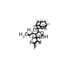 C=CCC(C(OO)C1(C)C2CC3CC(C2)CC1C3)C(F)(F)C(F)=C(F)F